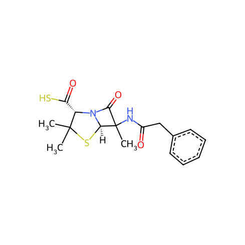 CC1(C)S[C@H]2N(C(=O)C2(C)NC(=O)Cc2ccccc2)[C@H]1C(=O)S